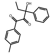 CCC(O)(C(=O)C(=O)c1ccc(C)cc1)c1ccccc1